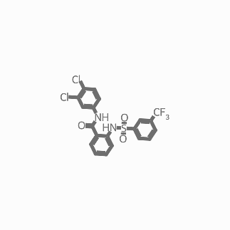 O=C(Nc1ccc(Cl)c(Cl)c1)c1ccccc1NS(=O)(=O)c1cccc(C(F)(F)F)c1